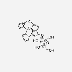 Cn1cccc1C(=O)c1ccccc1-n1cc(O[C@@H]2[C@@H](O)[C@@H](O)[C@@H](CO)O[C@H]2O)c2ccc(Cl)cc21